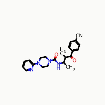 CC(NC(=O)N1CCN(c2ccccn2)CC1)C(C)C(=O)c1ccc(C#N)cc1